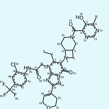 CCc1c(N2CC3CN(C(=O)c4ncnc(C)c4O)CCC32)c(=O)n2nc(C3=CCOCC3)nc2n1CC(=O)Nc1ccc(C(F)(F)F)cc1Cl